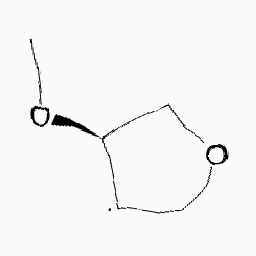 CO[C@@H]1[CH]COC1